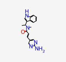 CC(c1c[nH]c2ccccc12)N(C)C(=O)C=Cc1cnc(N)nc1